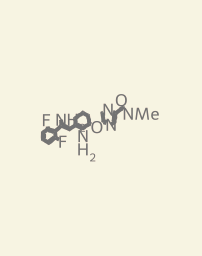 CNC(=O)c1cnc(OC2CCCC(/C=C(\N)c3c(F)cccc3F)=C2N)cn1